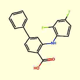 O=C(O)c1ccc(-c2ccccc2)cc1Nc1ccc(F)cc1F